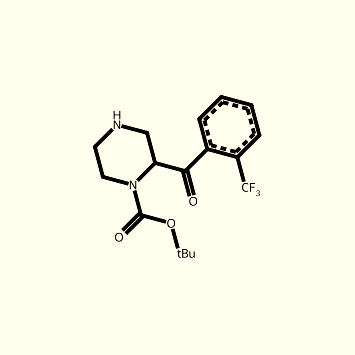 CC(C)(C)OC(=O)N1CCNCC1C(=O)c1ccccc1C(F)(F)F